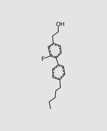 CCCCCc1ccc(-c2ccc(CCO)cc2F)cc1